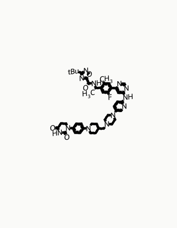 Cc1cc(-c2cc(Nc3ccc(N4CCN(CC5CCN(c6ccc(N7CCC(=O)NC7=O)cc6)CC5)CC4)cn3)ncn2)c(F)cc1[C@@H](C)NC(=O)c1nc(C(C)(C)C)no1